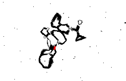 O=C(C1CC1)N1Cc2ccccc2C2(CCN(C3CCC4CCCCC(C3)N4C(=O)O[C@H]3CCOC3)CC2)C1